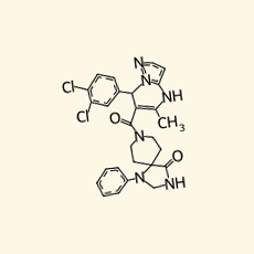 CC1=C(C(=O)N2CCC3(CC2)C(=O)NCN3c2ccccc2)C(c2ccc(Cl)c(Cl)c2)n2nccc2N1